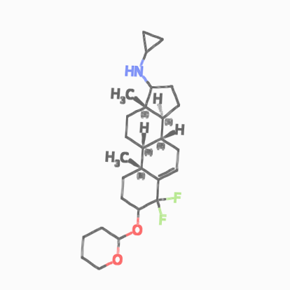 C[C@]12CCC(OC3CCCCO3)C(F)(F)C1=CC[C@@H]1[C@H]2CC[C@]2(C)C(NC3CC3)CC[C@@H]12